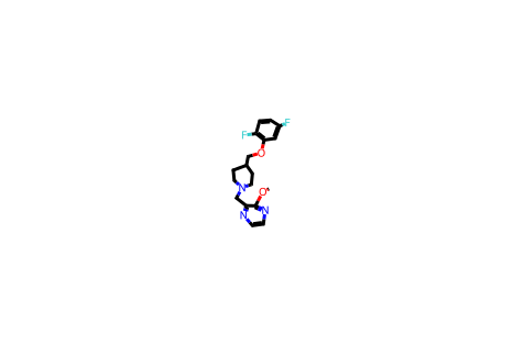 COc1nccnc1CN1CCC(COc2cc(F)ccc2F)CC1